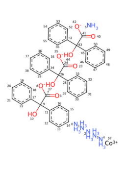 N.N.N.N.N.N.O=C([O-])C(O)(c1ccccc1)c1ccccc1.O=C([O-])C(O)(c1ccccc1)c1ccccc1.O=C([O-])C(O)(c1ccccc1)c1ccccc1.[Co+3]